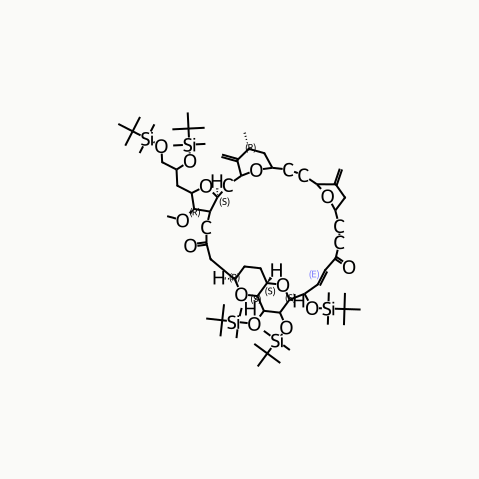 C=C1CC2CCC(=O)/C=C/C(O[Si](C)(C)C(C)(C)C)[C@@H]3O[C@H]4CC[C@H](CC(=O)CC5[C@@H](OC)C(CC(CO[Si](C)(C)C(C)(C)C)O[Si](C)(C)C(C)(C)C)O[C@H]5CC5OC(CCC1O2)C[C@@H](C)C5=C)O[C@@H]4C(O[Si](C)(C)C(C)(C)C)C3O[Si](C)(C)C(C)(C)C